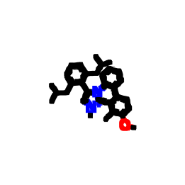 COc1ccc2c3ccccc3n3c(-c4c(CC(C)C)cccc4CC(C)C)c[n+](C)c3c2c1C